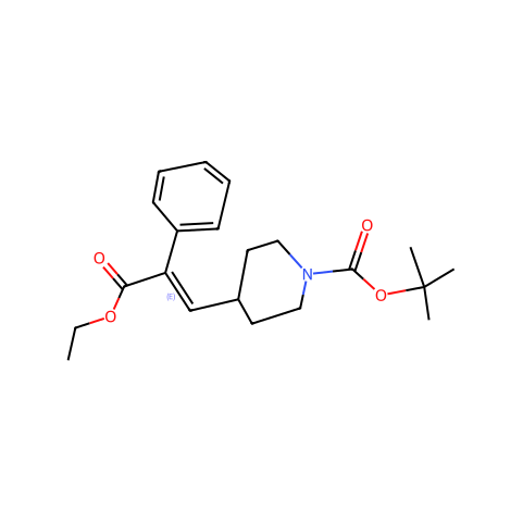 CCOC(=O)/C(=C/C1CCN(C(=O)OC(C)(C)C)CC1)c1ccccc1